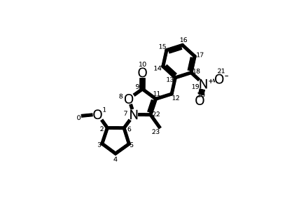 COC1CCCC1n1oc(=O)c(Cc2ccccc2[N+](=O)[O-])c1C